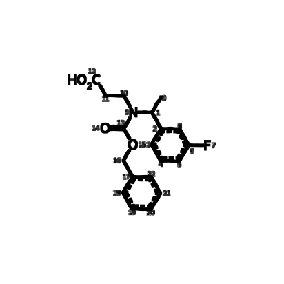 CC(c1cccc(F)c1)N(CCC(=O)O)C(=O)OCc1ccccc1